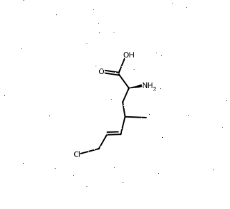 CC(/C=C/CCl)C[C@H](N)C(=O)O